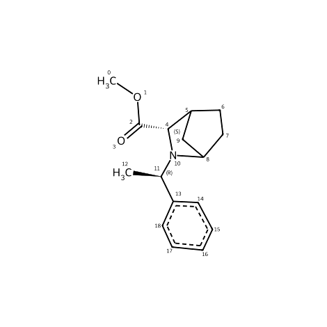 COC(=O)[C@@H]1C2CCC(C2)N1[C@H](C)c1ccccc1